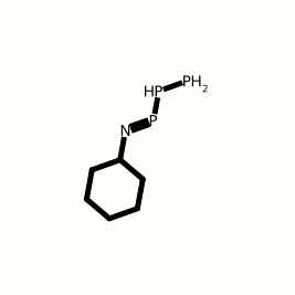 PP/P=N/C1CCCCC1